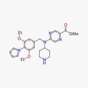 CCOc1cc(CN(c2cnc(C(=O)OC)cn2)C2CCNCC2)cc(OCC)c1-n1cccc1